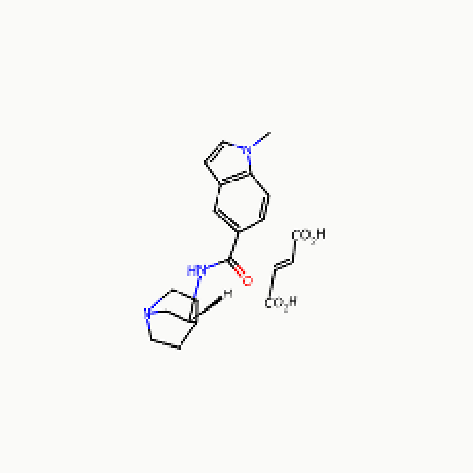 Cn1ccc2cc(C(=O)N[C@H]3CN4CCC3CC4)ccc21.O=C(O)/C=C/C(=O)O